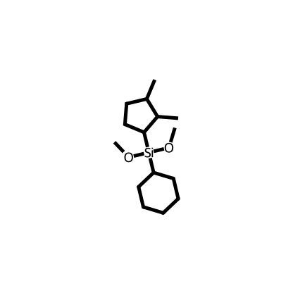 CO[Si](OC)(C1CCCCC1)C1CCC(C)C1C